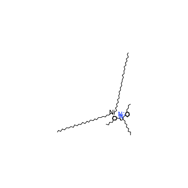 CCCCCCCCC1=C(c2cccc(CCCC)c2)[N+](=[N-])C(c2cccc(CCCC)c2)=C1.CCCCCCCCCCCCCCCCCCCCCCCCCCCC[CH2][Ni][CH2]CCCCCCCCCCCCCCCCCCCCCCCCCCCC